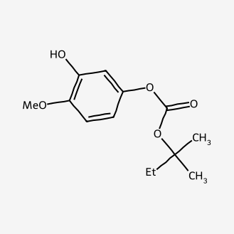 CCC(C)(C)OC(=O)Oc1ccc(OC)c(O)c1